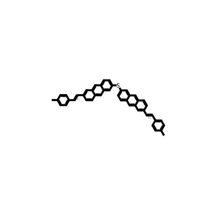 Cc1ccc(/C=C/c2ccc3cc4cc(Sc5ccc6cc7cc(/C=C/c8ccc(C)cc8)ccc7cc6c5)ccc4cc3c2)cc1